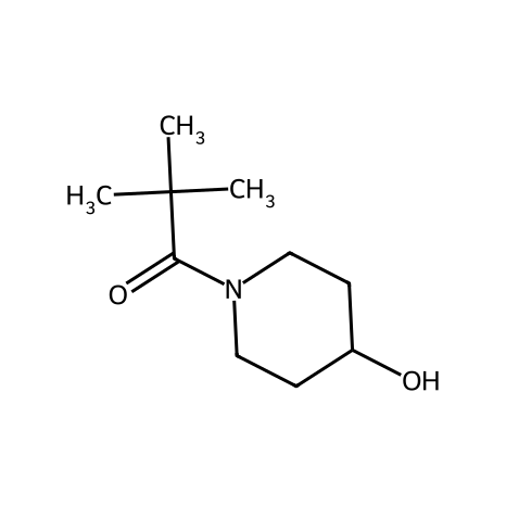 CC(C)(C)C(=O)N1CCC(O)CC1